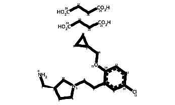 NC[C@@H]1CCN(CCc2cc(Cl)ccc2OCC2CC2)C1.O=C(O)CCC(=O)O.O=C(O)CCC(=O)O